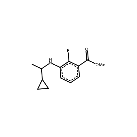 COC(=O)c1cccc(NC(C)C2CC2)c1F